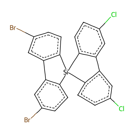 Clc1ccc2c(c1)-c1cc(Cl)ccc1[Si]21c2ccc(Br)cc2-c2cc(Br)ccc21